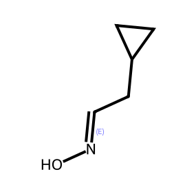 O/N=C/CC1CC1